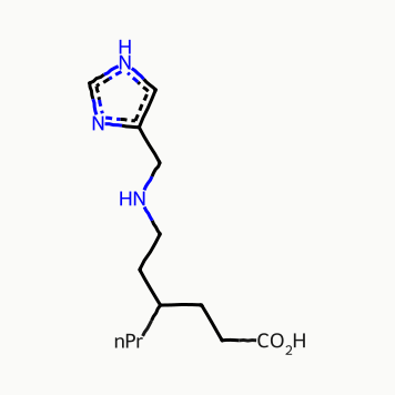 CCCC(CCNCc1c[nH]cn1)CCC(=O)O